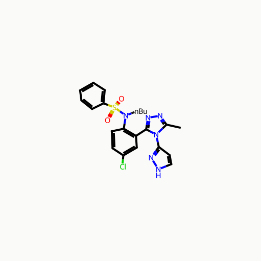 CCCCN(c1ccc(Cl)cc1-c1nnc(C)n1-c1cc[nH]n1)S(=O)(=O)c1ccccc1